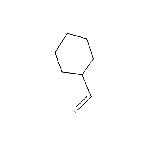 S=CC1[CH]CCCC1